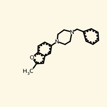 Cc1cc2cc(N3CCN(Cc4ccccc4)CC3)ccc2o1